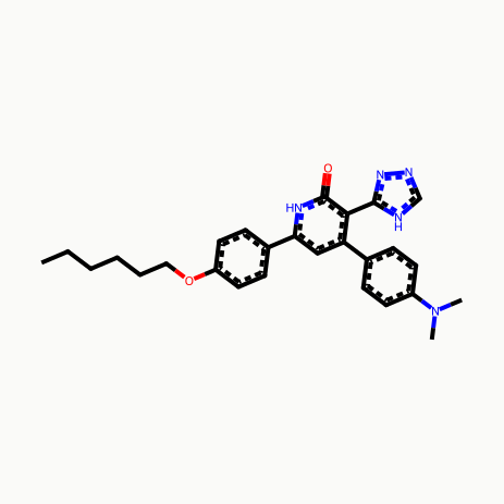 CCCCCCOc1ccc(-c2cc(-c3ccc(N(C)C)cc3)c(-c3nnc[nH]3)c(=O)[nH]2)cc1